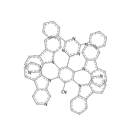 N#Cc1c(-n2c3ccccc3c3ccncc32)c(-n2c3ccccc3c3ccncc32)c(-c2nc(-c3ccccc3)nc(-c3ccccc3)n2)c(-n2c3ccccc3c3ccncc32)c1-n1c2ccccc2c2ccncc21